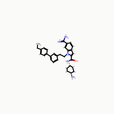 CCc1ccc(-c2cccc(CCn3c(C(=O)N[C@H]4CC[C@H](N)CC4)cc4ccc(C(=N)N)cc43)c2)cc1